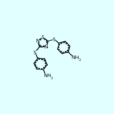 Nc1ccc(Sc2nsc(Sc3ccc(N)cc3)n2)cc1